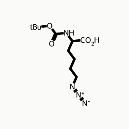 CC(C)(C)OC(=O)NC(CCCCN=[N+]=[N-])C(=O)O